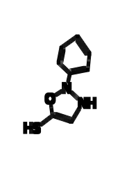 SC1=CNN(c2ccccc2)O1